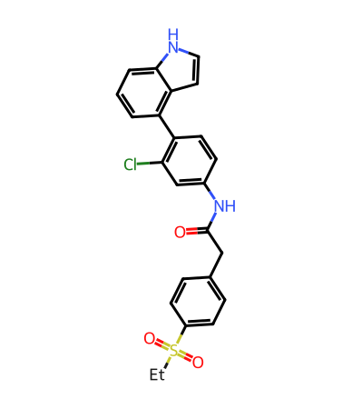 CCS(=O)(=O)c1ccc(CC(=O)Nc2ccc(-c3cccc4[nH]ccc34)c(Cl)c2)cc1